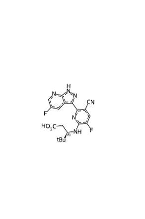 CC(C)(C)[C@@H](CC(=O)O)Nc1nc(-c2n[nH]c3ncc(F)cc23)c(C#N)cc1F